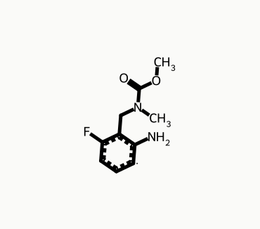 COC(=O)N(C)Cc1c(N)[c]ccc1F